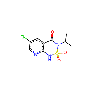 CC(C)N1C(=O)c2cc(Cl)cnc2NS1(=O)=O